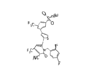 CCCCS(=O)(=O)c1cc(-c2csc(-c3cc(C(F)(F)F)c(C#N)c(=O)n3Cc3ccc(F)cc3F)c2)cc(C(F)(F)F)c1